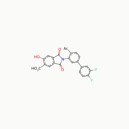 CC(=O)c1ccc(-c2ccc(F)c(F)c2)cc1N1C(=O)c2cc(O)c(C(=O)O)cc2C1=O